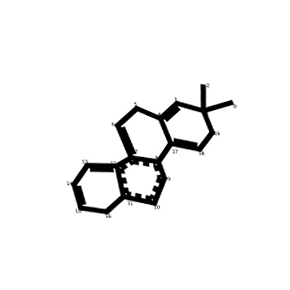 CC1(C)C=C2CC=c3c(ccc4c3=CC=CC4)C2=CC1